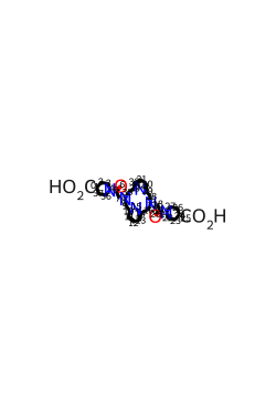 O=C(O)C1CCN(C(=O)CN2Cc3cccc(n3)CN(CC(=O)N3CCC(C(=O)O)CC3)Cc3cccc(n3)C2)CC1